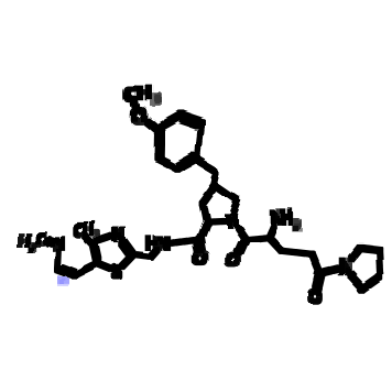 C=N/C=C\c1sc(CNC(=O)C2CC(Cc3ccc(OC)cc3)CN2C(=O)C(N)CCC(=O)N2CCCC2)nc1C